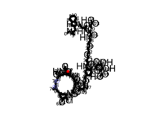 CNN(C)Cc1cc2ccccc2n1CCC(=O)N[C@H](CCC(=O)O)C(=O)NCCOCCOCCC(=O)Nc1cc(COC(=O)N(C)[C@@H](C)C(=O)O[C@H]2CC(=O)N(C)c3cc(cc(OC)c3Cl)C/C(C)=C/C=C/[C@@H](OC)[C@@]3(O)C[C@H](OC(=O)N3)[C@@H](C)[C@@H]3O[C@]23C)ccc1OC1O[C@H](C(=O)O)[C@@H](O)[C@H](O)[C@H]1O